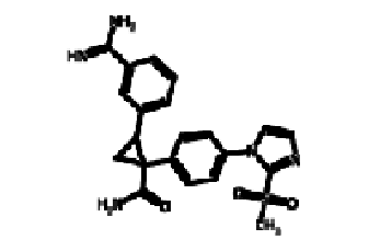 CS(=O)(=O)c1nccn1-c1ccc(C2(C(N)=O)CC2c2cccc(C(=N)N)c2)cc1